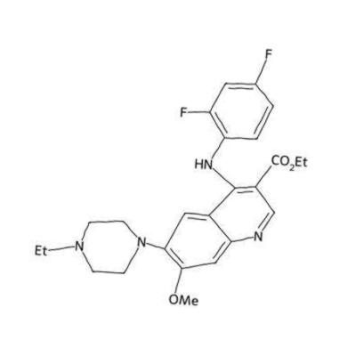 CCOC(=O)c1cnc2cc(OC)c(N3CCN(CC)CC3)cc2c1Nc1ccc(F)cc1F